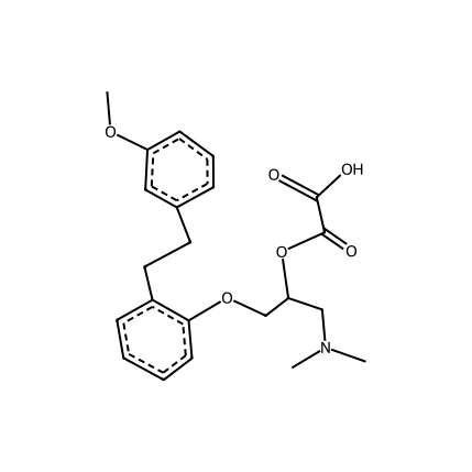 COc1cccc(CCc2ccccc2OCC(CN(C)C)OC(=O)C(=O)O)c1